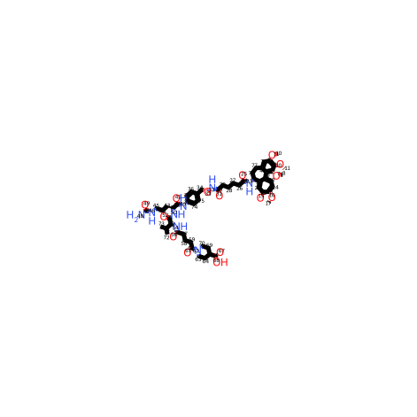 COc1cc2c(c(OC)c1OC)-c1ccc(OC)c(=O)cc1C(NC(=O)CCCCC(=O)NOCc1ccc(NC(=O)[C@H](CCCNC(N)=O)NC(=O)[C@@H](NC(=O)CCCC(=O)N3CCC(C(=O)O)CC3)C(C)C)cc1)CC2